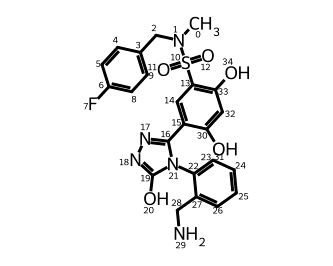 CN(Cc1ccc(F)cc1)S(=O)(=O)c1cc(-c2nnc(O)n2-c2ccccc2CN)c(O)cc1O